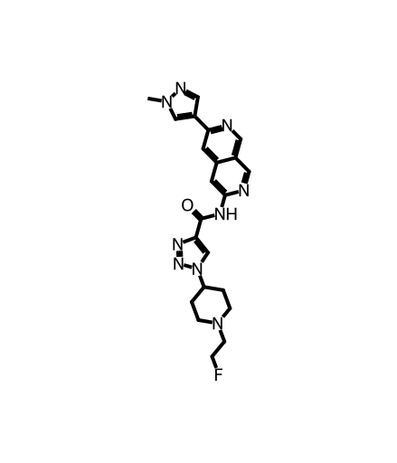 Cn1cc(-c2cc3cc(NC(=O)c4cn(C5CCN(CCF)CC5)nn4)ncc3cn2)cn1